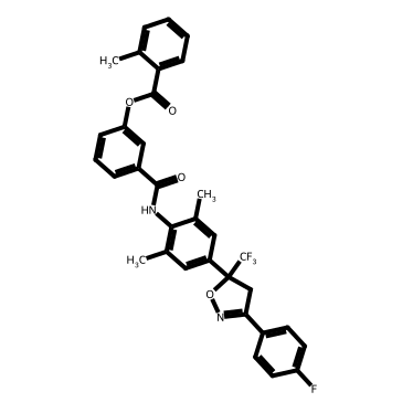 Cc1ccccc1C(=O)Oc1cccc(C(=O)Nc2c(C)cc(C3(C(F)(F)F)CC(c4ccc(F)cc4)=NO3)cc2C)c1